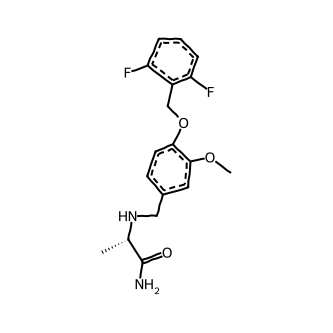 COc1cc(CN[C@@H](C)C(N)=O)ccc1OCc1c(F)cccc1F